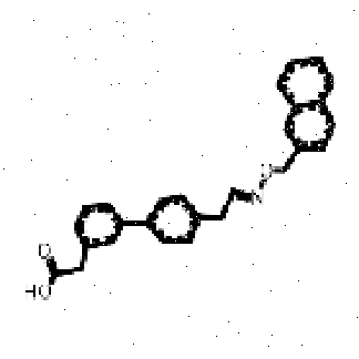 O=C(O)Cc1cccc(-c2ccc(CC=NOCc3ccc4ccccc4c3)cc2)c1